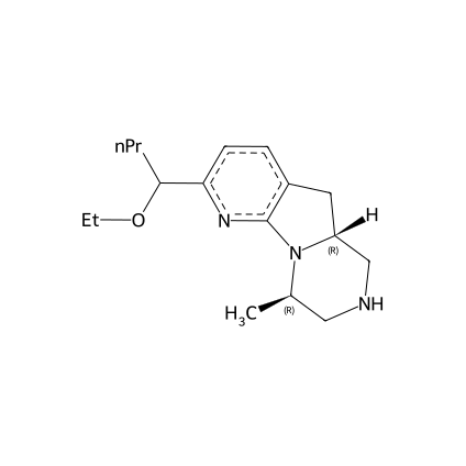 CCCC(OCC)c1ccc2c(n1)N1[C@@H](CNC[C@H]1C)C2